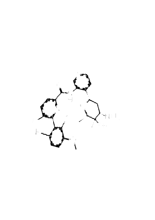 COc1ccc(F)c(-c2nc(C(=O)Nc3cnccc3[C@H]3C[C@@H](N)[C@](C)(O)[C@@H](C)O3)ccc2F)c1F